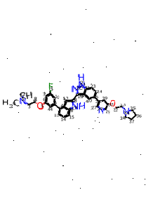 CN(C)CCOc1cc(F)cc(-c2cccc3[nH]c(-c4n[nH]c5ccc(-c6cncc(OCCN7CCCC7)c6)cc45)cc23)c1